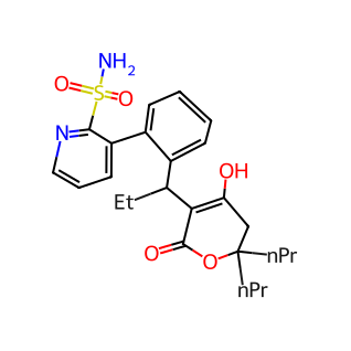 CCCC1(CCC)CC(O)=C(C(CC)c2ccccc2-c2cccnc2S(N)(=O)=O)C(=O)O1